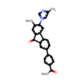 COC(=O)c1ccc(-c2ccc3c(c2)C(=O)c2cc(OC)c(-n4cnc(C)c4)cc2-3)cc1